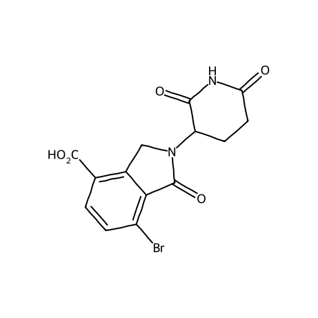 O=C1CCC(N2Cc3c(C(=O)O)ccc(Br)c3C2=O)C(=O)N1